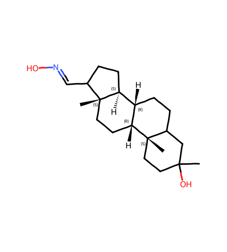 CC1(O)CC[C@@]2(C)C(CC[C@@H]3[C@H]2CC[C@]2(C)C(C=NO)CC[C@@H]32)C1